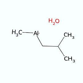 O.[CH3][Al][CH2]C(C)C